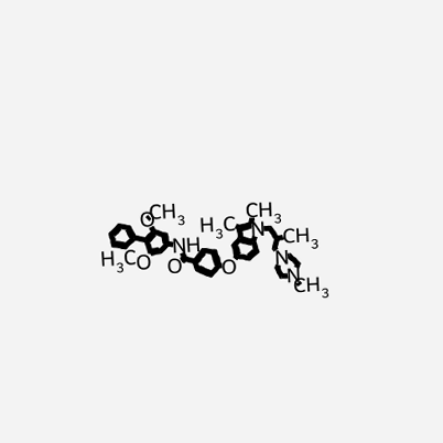 COc1cc(NC(=O)c2ccc(Oc3ccc4c(c3)c(C)c(C)n4CC(C)CN3CCN(C)CC3)cc2)cc(OC)c1-c1ccccc1